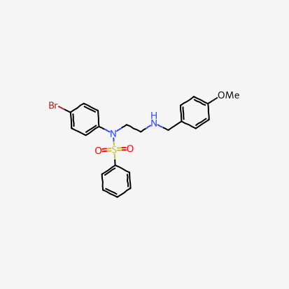 COc1ccc(CNCCN(c2ccc(Br)cc2)S(=O)(=O)c2ccccc2)cc1